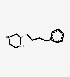 c1ccc(CCCC[C@H]2CNCCN2)cc1